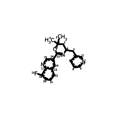 CC1(C)CC(Cc2cccnc2)N=C(c2cnc3c(F)cccc3c2)O1